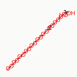 CCC(CO)(CO)COCCOCCOCCOCCOCCOCCOCCOCCOCCOCCOCCOCCOCCOCCOCCOCCOCCOCCOCCOC